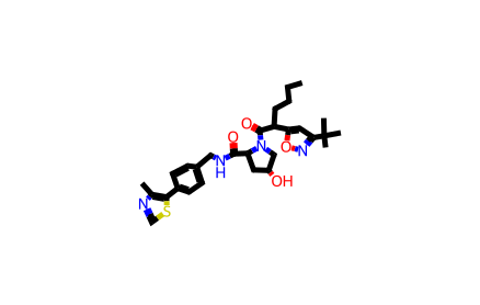 CCCCC(C(=O)N1CC(O)CC1C(=O)NCc1ccc(-c2scnc2C)cc1)c1cc(C(C)(C)C)no1